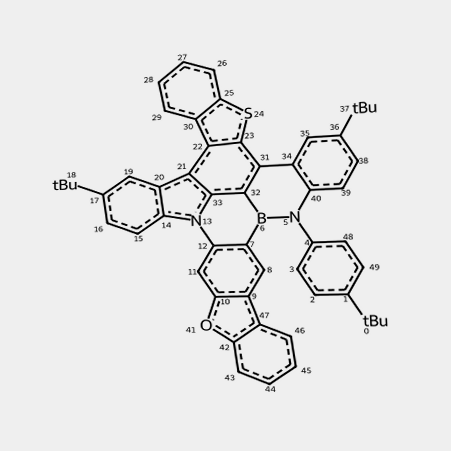 CC(C)(C)c1ccc(N2B3c4cc5c(cc4-n4c6ccc(C(C)(C)C)cc6c6c7c(sc8ccccc87)c(c3c64)-c3cc(C(C)(C)C)ccc32)oc2ccccc25)cc1